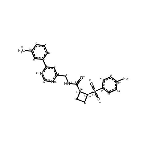 O=C(NCc1cc(-c2cccc(C(F)(F)F)c2)ncn1)[C@@H]1CC[C@@H]1S(=O)(=O)c1ccc(F)cc1